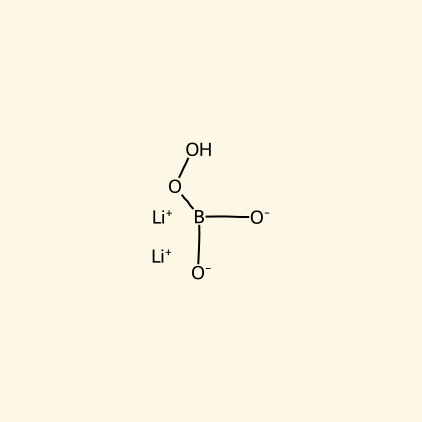 [Li+].[Li+].[O-]B([O-])OO